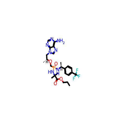 CCCOC(=O)C(C)(C)NP(=O)(CO[C@H](C)Cn1cnc2c(N)ncnc21)N[C@@H](C)c1ccc(C(F)(F)F)cc1